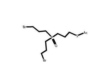 CC(=O)SCCCP(=O)(CCCBr)CCCBr